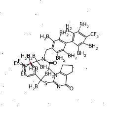 Bc1c(B)c(-c2c(B)c(B)c(C(F)(F)F)c(B)c2B)c(B)c(B)c1CN(C(=O)Cn1c(SC(B)(B)c2ccc(F)cc2)nc(=O)c2c1CCC2)C(B)(B)C(B)(B)N(CC)CC